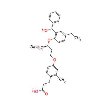 CCc1ccc(O[C@H](C)CCOc2ccc(CCC(=O)O)c(C)c2)c(C(O)c2ccccc2)c1.[BH4-].[Na+]